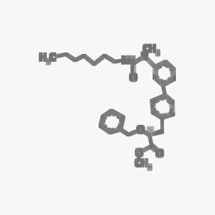 CCCCCCCNC(=O)N(C)c1cccc(-c2ccc(C[C@H](OCc3ccccc3)C(=O)OC)cc2)c1